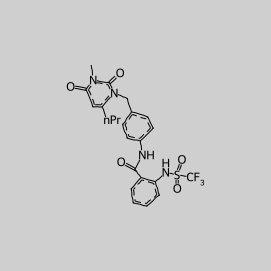 CCCc1cc(=O)n(C)c(=O)n1Cc1ccc(NC(=O)c2ccccc2NS(=O)(=O)C(F)(F)F)cc1